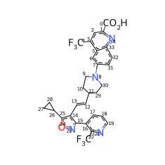 O=C(O)c1cc(C(F)(F)F)c2cc(N3CCC(C=Cc4c(-c5cccnc5C(F)(F)F)noc4C4CC4)CC3)ccc2n1